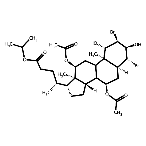 CC(=O)O[C@H]1CC2C([C@H](OC(C)=O)C[C@@H]3[C@@H](Br)[C@H](O)[C@H](Br)[C@@H](O)[C@]23C)[C@@H]2CC[C@H]([C@H](C)CCC(=O)OC(C)C)[C@@]12C